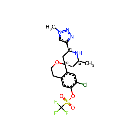 C[C@H]1C[C@@]2(C[C@@H](c3cn(C)nn3)N1)OCCc1cc(OS(=O)(=O)C(F)(F)F)c(Cl)cc12